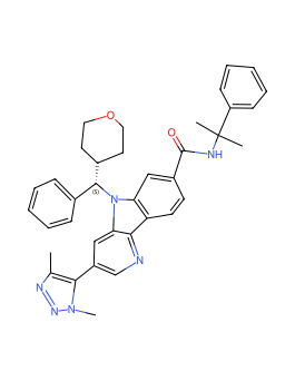 Cc1nnn(C)c1-c1cnc2c3ccc(C(=O)NC(C)(C)c4ccccc4)cc3n([C@H](c3ccccc3)C3CCOCC3)c2c1